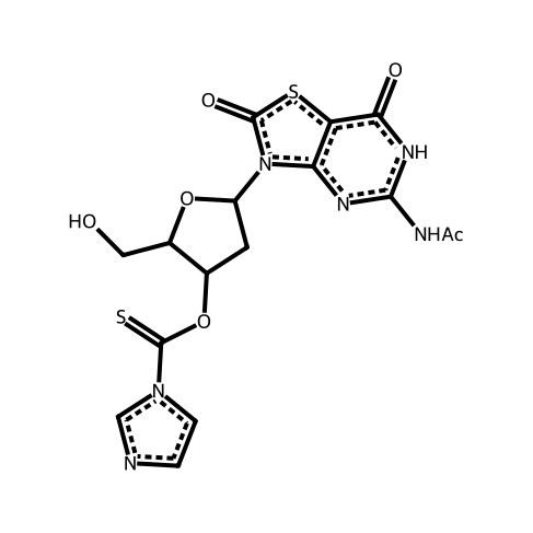 CC(=O)Nc1nc2c(sc(=O)n2C2CC(OC(=S)n3ccnc3)C(CO)O2)c(=O)[nH]1